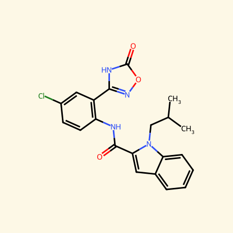 CC(C)Cn1c(C(=O)Nc2ccc(Cl)cc2-c2noc(=O)[nH]2)cc2ccccc21